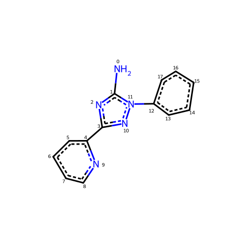 Nc1nc(-c2ccccn2)nn1-c1ccccc1